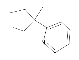 CCC(C)(CC)c1ccccn1